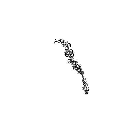 CC(=O)Oc1ccc(C(=O)OCC2OCOC3C(COC(=O)c4ccc(OC(=O)c5ccc(OCCCCCCOCC6CCC7OC7C6)cc5F)cc4)OCOC23)cc1